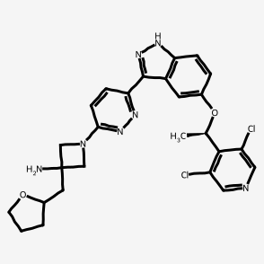 C[C@@H](Oc1ccc2[nH]nc(-c3ccc(N4CC(N)(CC5CCCO5)C4)nn3)c2c1)c1c(Cl)cncc1Cl